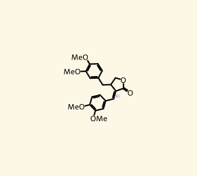 COc1ccc(/C=C2/C(=O)OCC2Cc2ccc(OC)c(OC)c2)cc1OC